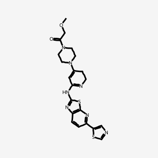 COCC(=O)N1CCN(C2=CC(Nc3nc4ccc(-c5cncs5)nc4s3)=NCC2)CC1